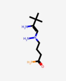 CC(C)(C)/C(N)=C/N(N)CCCC(=O)P